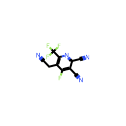 N#CCc1c(C(F)(F)F)nc(C#N)c(C#N)c1F